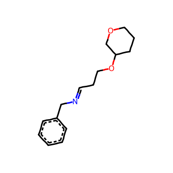 C(CCOC1CCCOC1)=NCc1ccccc1